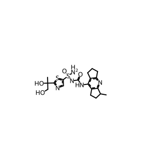 CC1CCc2c1nc1c(c2NC(=O)N=S(N)(=O)c2cnc(C(C)(O)CO)s2)CCC1